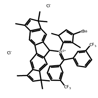 CC1=CC(C)(C)c2cc3c(cc21)-c1cc2c(cc1[CH]3[Zr+2]([C]1=C(C)C(C(C)(C)C)=CC1C)=[C](c1cccc(C(F)(F)F)c1)c1cccc(C(F)(F)F)c1)C(C)(C)C=C2C.[Cl-].[Cl-]